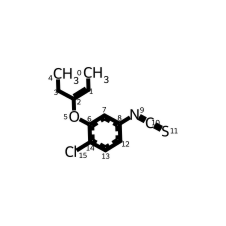 CC=C(CC)Oc1cc(N=C=S)ccc1Cl